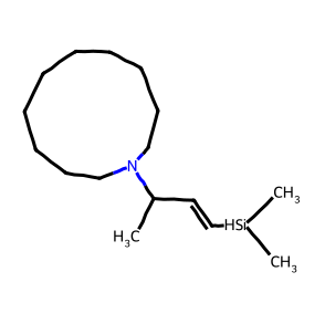 CC(C=C[SiH](C)C)N1CCCCCCCCCC1